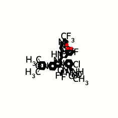 C[C@@H]1CN(c2ccc3c(=O)n(-c4ccc(Cl)c5c(NS(C)(=O)=O)nn(CC(F)F)c45)c([C@H](Cc4cc(F)cc(F)c4)NC(=O)Cn4nc(C(F)(F)F)cc4C4CC4)nc3c2)C[C@H](C)O1